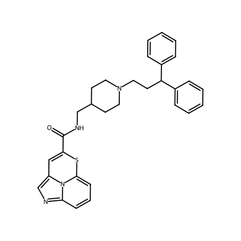 O=C(NCC1CCN(CCC(c2ccccc2)c2ccccc2)CC1)C1=Cc2cnc3cccc(n23)S1